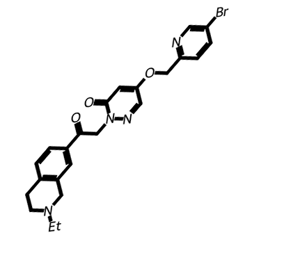 CCN1CCc2ccc(C(=O)Cn3ncc(OCc4ccc(Br)cn4)cc3=O)cc2C1